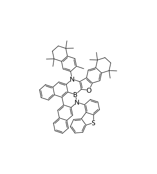 Cc1cc2c(cc1N1c3cc4ccccc4c4c3B(c3oc5cc6c(cc5c31)C(C)(C)CCC6(C)C)N(c1cccc3sc5ccccc5c13)c1cc3ccccc3cc1-4)C(C)(C)CCC2(C)C